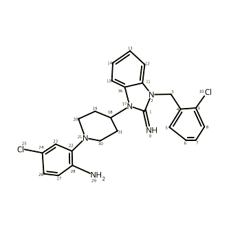 N=c1n(Cc2ccccc2Cl)c2ccccc2n1C1CCN(c2cc(Cl)ccc2N)CC1